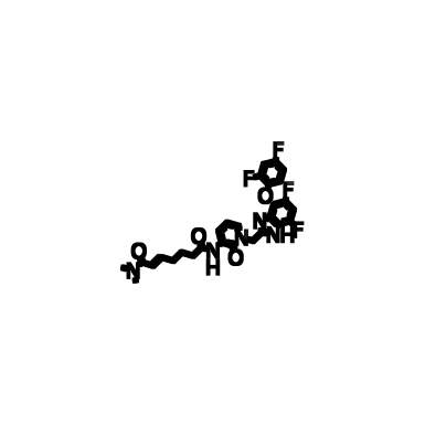 CN(C)C(=O)/C=C/CCCC(=O)Nc1cccn(Cc2nc3c(Oc4ccc(F)cc4F)c(F)cc(F)c3[nH]2)c1=O